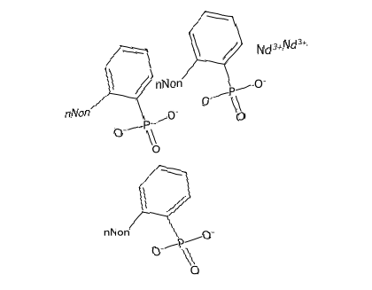 CCCCCCCCCc1ccccc1P(=O)([O-])[O-].CCCCCCCCCc1ccccc1P(=O)([O-])[O-].CCCCCCCCCc1ccccc1P(=O)([O-])[O-].[Nd+3].[Nd+3]